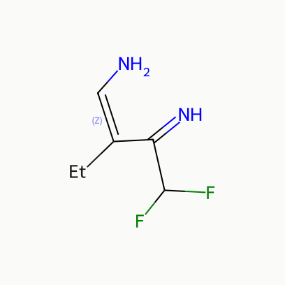 CC/C(=C/N)C(=N)C(F)F